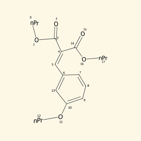 CCCOC(=O)C(=Cc1cccc(OCCC)c1)C(=O)OCCC